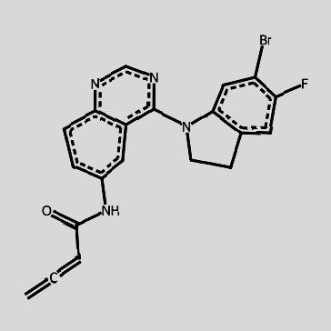 C=C=CC(=O)Nc1ccc2ncnc(N3CCc4cc(F)c(Br)cc43)c2c1